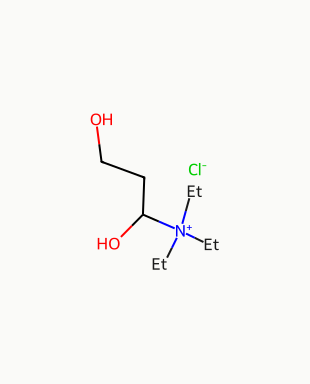 CC[N+](CC)(CC)C(O)CCO.[Cl-]